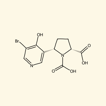 O=C(O)[C@H]1CC[C@@H](c2cncc(Br)c2O)N1C(=O)O